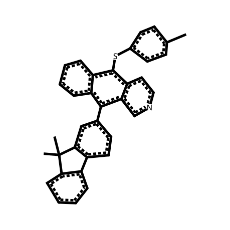 Cc1ccc(Sc2c3ccccc3c(-c3ccc4c(c3)C(C)(C)c3ccccc3-4)c3cnccc23)cc1